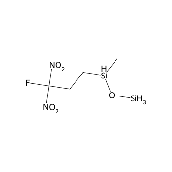 C[SiH](CCC(F)([N+](=O)[O-])[N+](=O)[O-])O[SiH3]